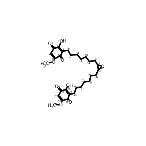 COC1=CC(=O)C(O)=C(CCCCCCCC2OC2CCCCCCCC2=C(O)C(=O)C=C(OC)C2=O)C1=O